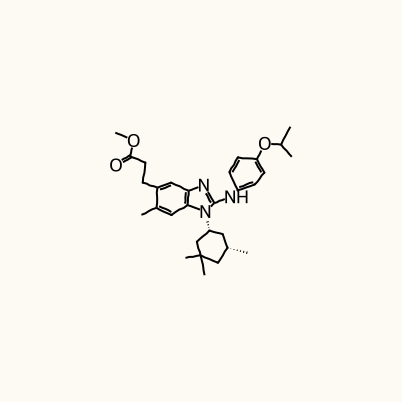 COC(=O)CCc1cc2nc(Nc3ccc(OC(C)C)cc3)n([C@@H]3C[C@H](C)CC(C)(C)C3)c2cc1C